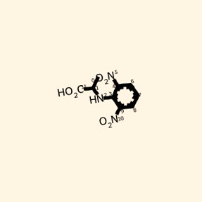 CC(Nc1c([N+](=O)[O-])cccc1[N+](=O)[O-])C(=O)O